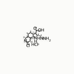 Cl.NNCc1[nH]c2c(ccc3cnc(Cl)cc32)c1C(=O)O